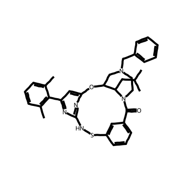 Cc1cccc(C)c1-c1cc2nc(n1)NSc1cccc(c1)C(=O)N1CCN(Cc3ccccc3)CC(O2)C1CC(C)C